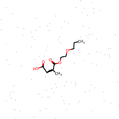 CCCOCCOC(=O)/C(C)=C\C(=O)O